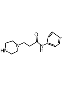 O=C(CCN1CCNCC1)Nc1cc[c]cc1